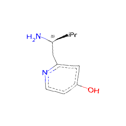 CC(C)[C@H](N)c1cc(O)ccn1